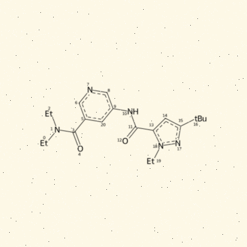 CCN(CC)C(=O)c1cncc(NC(=O)c2cc(C(C)(C)C)nn2CC)c1